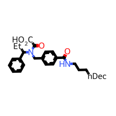 CCCCCCCCCCCCCNC(=O)c1ccc(CN(C(=O)C(=O)O)C(CC)c2ccccc2)cc1